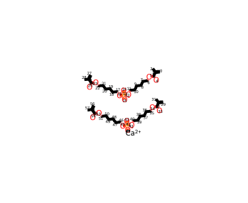 C=C(C)C(=O)OCCCCCCOP(=O)([O-])OCCCCCCOC(=O)C(=C)C.C=C(C)C(=O)OCCCCCCOP(=O)([O-])OCCCCCCOC(=O)C(=C)C.[Ca+2]